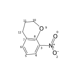 O=[N+]([O-])c1cccc2c1OCCC2